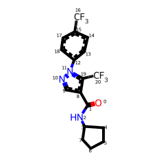 O=C(NC1CCCC1)c1cnn(-c2ccc(C(F)(F)F)cc2)c1C(F)(F)F